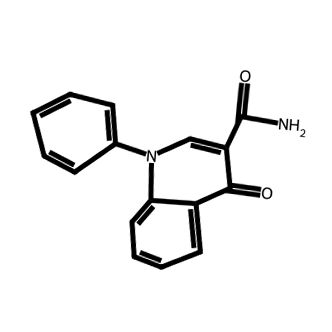 NC(=O)c1cn(-c2ccccc2)c2ccccc2c1=O